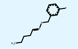 CCCCC=NOCc1cccc(F)c1